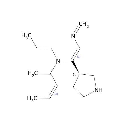 C=N/C=C(/[C@@H]1CCNC1)N(CCC)C(=C)/C=C\C